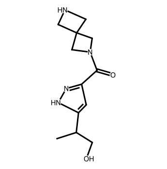 CC(CO)c1cc(C(=O)N2CC3(CNC3)C2)n[nH]1